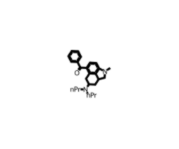 CCCN(CCC)C1Cc2c(C(=O)c3ccccc3)ccc3c2C(C1)CN3C